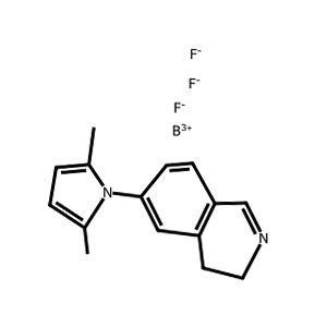 Cc1ccc(C)n1-c1ccc2c(c1)CCN=C2.[B+3].[F-].[F-].[F-]